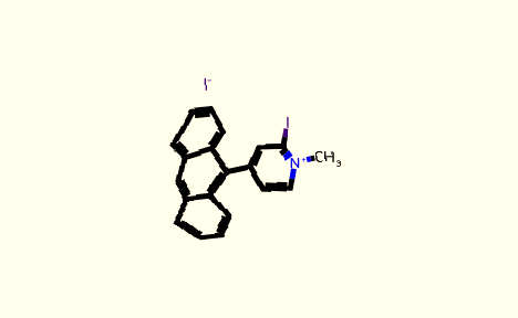 C[n+]1ccc(-c2c3ccccc3cc3ccccc23)cc1I.[I-]